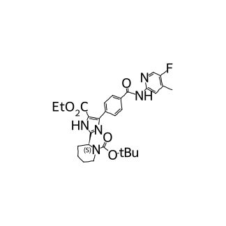 CCOC(=O)c1[nH]c([C@@H]2CCCCN2C(=O)OC(C)(C)C)nc1-c1ccc(C(=O)Nc2cc(C)c(F)cn2)cc1